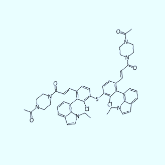 CCn1ccc2cccc(-c3c(/C=C/C(=O)N4CCN(C(C)=O)CC4)ccc(Sc4ccc(/C=C/C(=O)N5CCN(C(C)=O)CC5)c(-c5cccc6ccn(CC)c56)c4Cl)c3Cl)c21